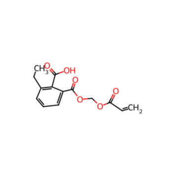 C=CC(=O)OCOC(=O)c1cccc(CC)c1C(=O)O